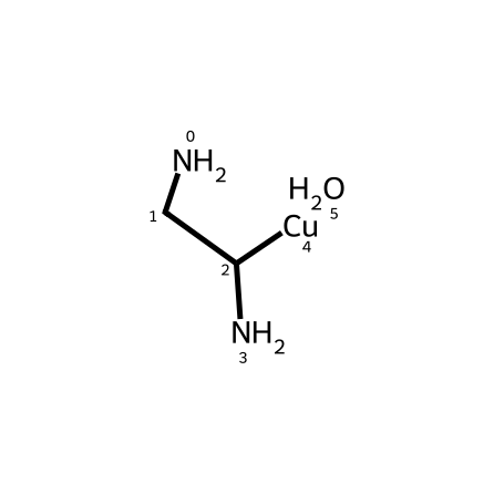 NC[CH](N)[Cu].O